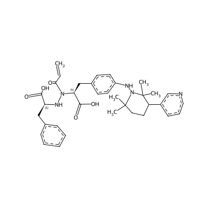 C=CC(=O)N(N[C@@H](Cc1ccccc1)C(=O)O)[C@@H](Cc1ccc(NN2C(C)(C)CCC(c3cccnc3)C2(C)C)cc1)C(=O)O